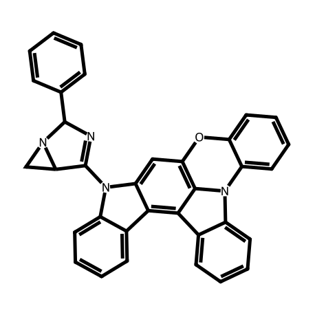 c1ccc(C2N=C(n3c4ccccc4c4c5c6ccccc6n6c5c(cc43)Oc3ccccc3-6)C3CN32)cc1